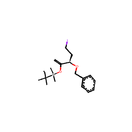 C=C(O[Si](C)(C)C(C)(C)C)[C@@H](CCI)OCc1ccccc1